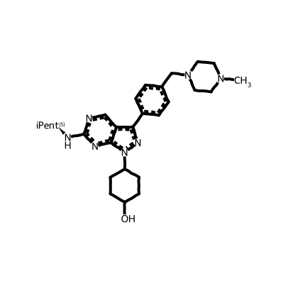 CCC[C@H](C)Nc1ncc2c(-c3ccc(CN4CCN(C)CC4)cc3)nn(C3CCC(O)CC3)c2n1